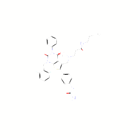 CCNC(=O)Nc1ccc(-c2sc3c(c2CN(C)CCC(=O)NCCOC)c(=O)n(-c2ccccc2)c(=O)n3Cc2c(F)cccc2F)cc1